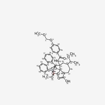 COCOc1ccc(C(=O)NC2(C(=O)c3ccccc3)CC(C(C)OC)CCN(C(=O)O)C2(OCOC)OC(=O)c2ccccc2)cc1